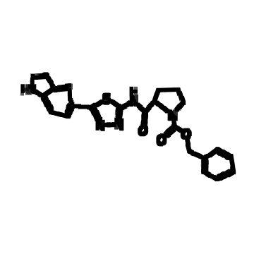 O=C(Nc1nnc(-c2ccc3[nH]ccc3c2)s1)C1CCCN1C(=O)OCc1ccccc1